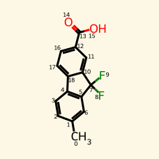 Cc1ccc2c(c1)C(F)(F)c1cc(C(=O)O)ccc1-2